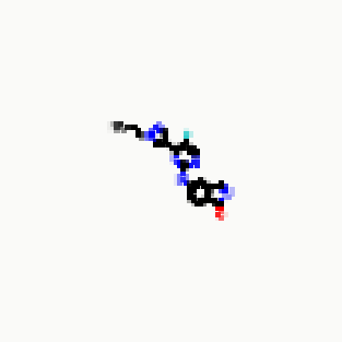 N#CCCn1cc(-c2nc(Nc3ccc4c(c3)C=NC4=O)ncc2F)cn1